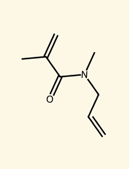 C=CCN(C)C(=O)C(=C)C